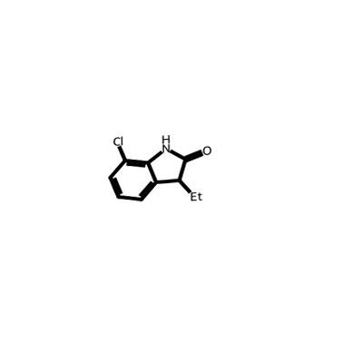 CCC1C(=O)Nc2c(Cl)cccc21